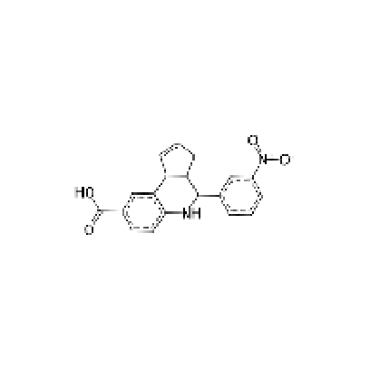 O=C(O)c1ccc2c(c1)C1C=CCC1C(c1cccc([N+](=O)[O-])c1)N2